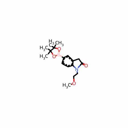 COCCN1C(=O)Cc2cc(B3OC(C)(C)C(C)(C)O3)ccc21